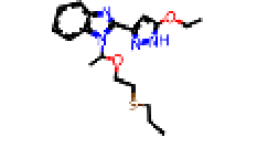 CCCSCCOC(C)n1c(-c2cc(OCC)[nH]n2)nc2ccccc21